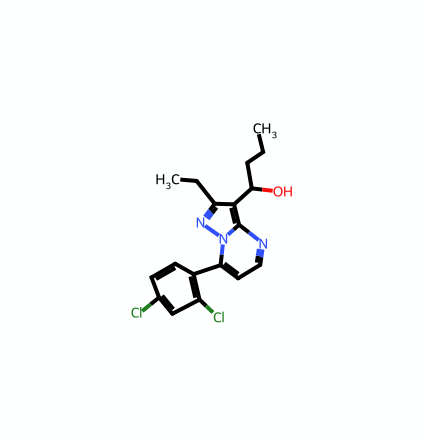 CCCC(O)c1c(CC)nn2c(-c3ccc(Cl)cc3Cl)ccnc12